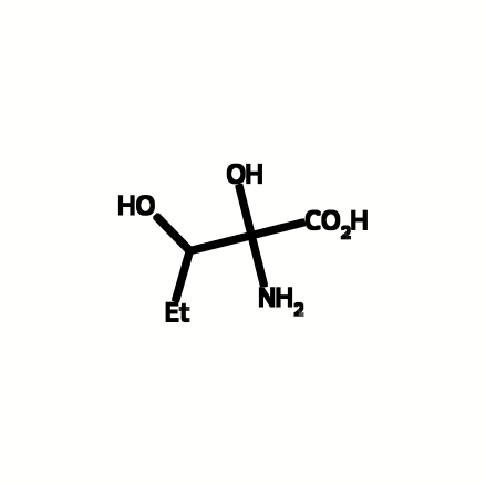 CCC(O)C(N)(O)C(=O)O